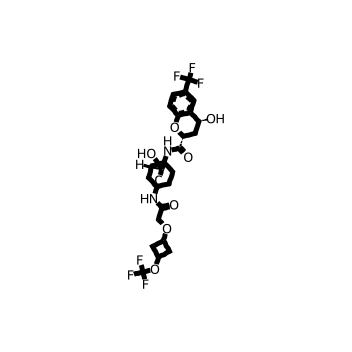 O=C(COC1CC(OC(F)(F)F)C1)NC12CCC(NC(=O)[C@H]3C[C@@H](O)c4cc(C(F)(F)F)ccc4O3)(CC1)[C@@H](O)C2